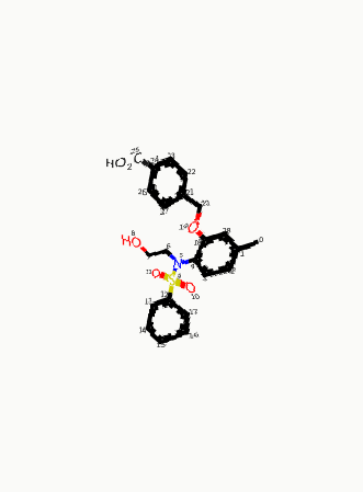 Cc1ccc(N(CCO)S(=O)(=O)c2ccccc2)c(OCc2ccc(C(=O)O)cc2)c1